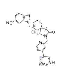 CN/C=C(\C=N)c1ccnc(CN2CC3(CCC[C@](C)(Cn4cnc5ccc(C#N)cc54)C3)OC2=O)c1